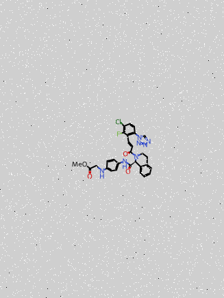 COC(=O)CNc1ccc(NC(=O)[C@@H]2c3ccccc3CCN2C(=O)/C=C/c2c(-n3cnnn3)ccc(Cl)c2F)cc1